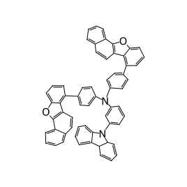 C1=CC2c3ccccc3N(c3cccc(N(c4ccc(-c5cccc6oc7c8ccccc8ccc7c56)cc4)c4ccc(-c5cccc6oc7c8ccccc8ccc7c56)cc4)c3)C2C=C1